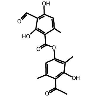 CC(=O)c1c(C)cc(OC(=O)c2c(C)cc(O)c(C=O)c2O)c(C)c1O